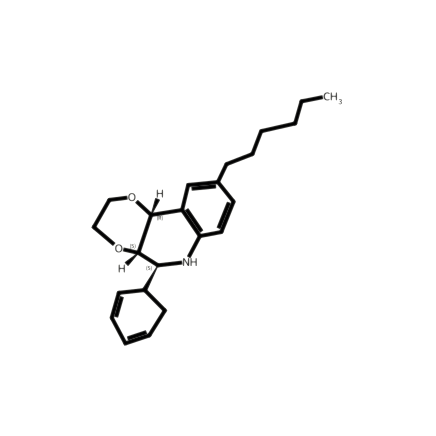 CCCCCCc1ccc2c(c1)[C@H]1OCCO[C@H]1[C@H](C1C=CC=CC1)N2